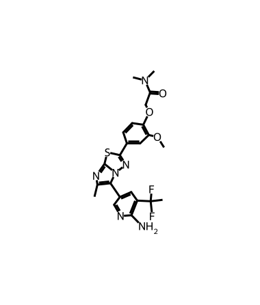 COc1cc(-c2nn3c(-c4cnc(N)c(C(C)(F)F)c4)c(C)nc3s2)ccc1OCC(=O)N(C)C